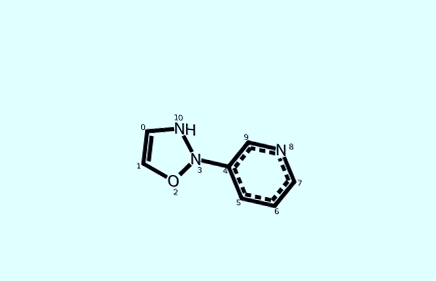 C1=CON(c2cccnc2)N1